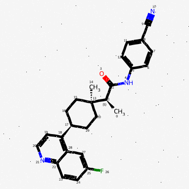 C[C@H](C(=O)Nc1ccc(C#N)cc1)[C@]1(C)CC[C@H](c2ccnc3ccc(F)cc32)CC1